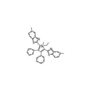 CC[Si]1(C)C(c2nc3cc(C)ccc3s2)=C(c2ccccc2)C(c2ccccc2)=C1c1nc2cc(C)ccc2s1